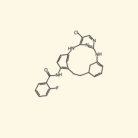 O=C(Nc1ccc2cc1CCC1C=CC=C(C1)Nc1ncc(Cl)c(n1)N2)c1ccccc1F